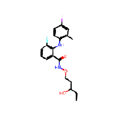 CCC(O)CCONC(=O)c1cccc(F)c1Nc1ccc(I)cc1C